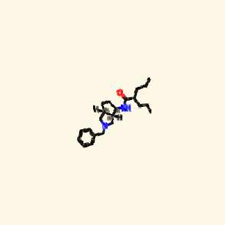 CCCC(CCC)C(=O)N[C@@H]1CC[C@H]2CN(Cc3ccccc3)C[C@H]21